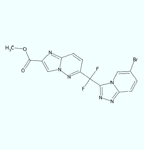 COC(=O)c1cn2nc(C(F)(F)c3nnc4ccc(Br)cn34)ccc2n1